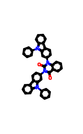 O=c1c2ccccc2n(-c2ccc3c4ccccc4n(-c4ccccc4)c3c2)c(=O)n1-c1ccc2c3ccccc3n(-c3ccccc3)c2c1